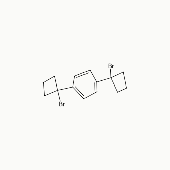 BrC1(c2ccc(C3(Br)CCC3)cc2)CCC1